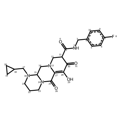 O=C(NCc1ccc(F)cc1)C1CN2CC3N(CC4CC4)CCCN3C(=O)C2=C(O)C1=O